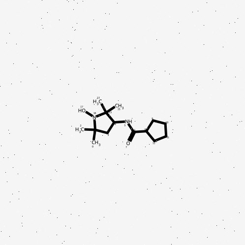 CC1(C)CC(NC(=O)C2CCCC2)C(C)(C)N1O